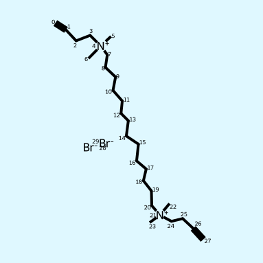 C#CCC[N+](C)(C)CCCCCCCCCCCCCC[N+](C)(C)CCC#C.[Br-].[Br-]